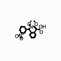 COC=C(C(=O)O)c1ccccc1C(=NOC)c1cccc([N+](=O)[O-])c1